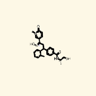 Cc1ccccc1C(C/C(=N/O)c1ccc(=O)n(C)c1)c1ccc(C(=O)N[C@@H](C)CO)cc1